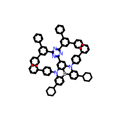 c1ccc(-c2ccc(N3c4cc(C5CCCCC5)ccc4B4c5ccc(C6CCCCC6)cc5N(c5ccc(-c6ccccc6)cc5)c5cc(-c6nc(-c7cc(-c8ccccc8)cc(-c8ccccc8)c7)nc(-c7cc(-c8ccccc8)cc(-c8ccccc8)c7)n6)cc3c54)cc2)cc1